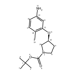 CC(C)(C)OC(=O)N1CC[C@H](Oc2cc(N)ccc2F)C1